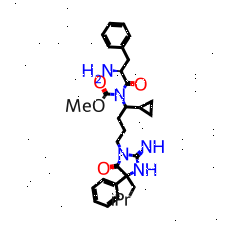 COC(=O)N(C(=O)[C@@H](N)Cc1ccccc1)C(CCCN1C(=N)NC(CC(C)C)(c2ccccc2)C1=O)C1CC1